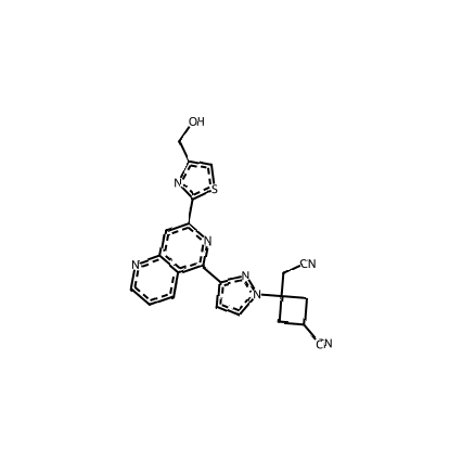 N#CCC1(n2ccc(-c3nc(-c4nc(CO)cs4)cc4ncccc34)n2)CC(C#N)C1